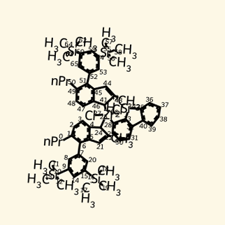 CCCc1ccc2c(c1-c1cc([Si](C)(C)C)cc([Si](C)(C)C)c1)C=C(C)[CH]2[Zr]([Cl])([Cl])([c]1cccc2c1[SiH2]c1ccccc1-2)[CH]1C(C)=Cc2c1ccc(CCC)c2-c1cc([Si](C)(C)C)cc([Si](C)(C)C)c1